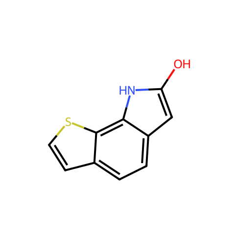 Oc1cc2ccc3ccsc3c2[nH]1